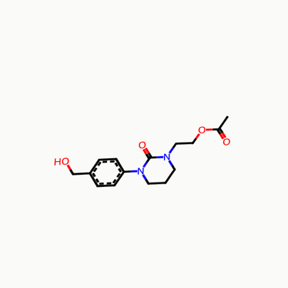 CC(=O)OCCN1CCCN(c2ccc(CO)cc2)C1=O